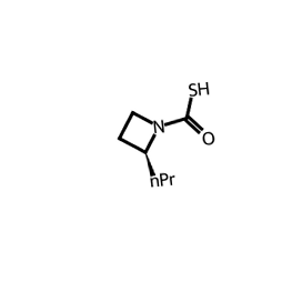 CCC[C@H]1CCN1C(=O)S